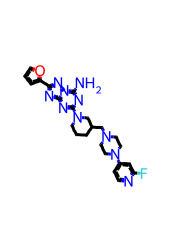 Nc1nc(N2CCCC(CN3CCN(c4ccnc(F)c4)CC3)C2)nc2nc(-c3ccco3)nn12